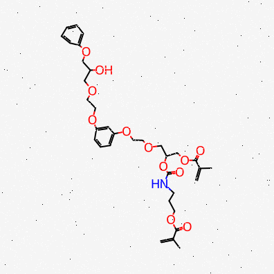 C=C(C)C(=O)OCCCNC(=O)OC(COCCOc1cccc(OCCOCC(O)COc2ccccc2)c1)COC(=O)C(=C)C